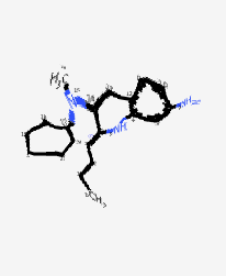 CCC/C=C1\Nc2cc(N)ccc2CC1N(C)C1CCCCC1